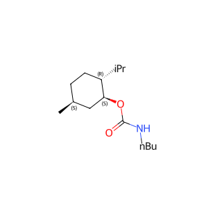 CCCCNC(=O)O[C@H]1C[C@@H](C)CC[C@@H]1C(C)C